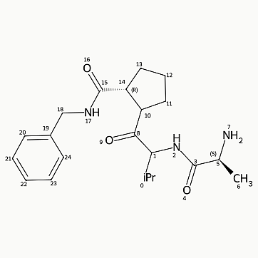 CC(C)C(NC(=O)[C@H](C)N)C(=O)C1CCC[C@H]1C(=O)NCc1ccccc1